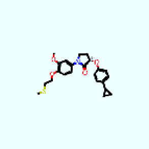 COc1cc(N2CC[C@H](Oc3ccc(C4CC4)cc3)C2=O)ccc1OCCSC